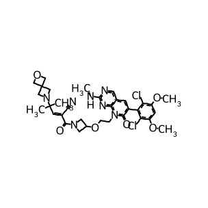 CNc1ncc2cc(-c3c(Cl)c(OC)cc(OC)c3Cl)c(=O)n(CCOC3CN(C(=O)C(C#N)=CC(C)(C)N4CC5(COC5)C4)C3)c2n1